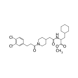 COC(=O)C(CC1CCCCC1)NC(=O)CC1CCN(C(=O)CCc2ccc(Cl)c(Cl)c2)CC1